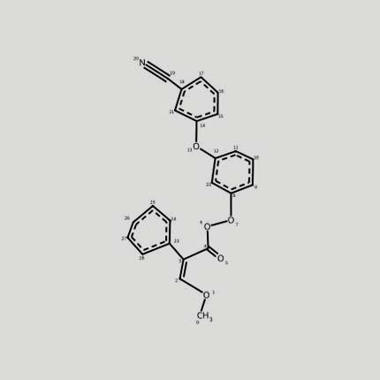 CO/C=C(\C(=O)OOc1cccc(Oc2cccc(C#N)c2)c1)c1ccccc1